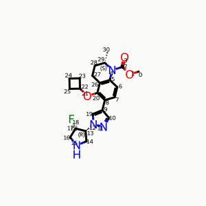 COC(=O)N1c2ccc(-c3cnn([C@@H]4CNC[C@@H]4F)c3)c(OC3CCC3)c2CC[C@@H]1C